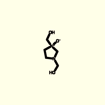 [O-][N+]1(CO)CCN(CO)C1